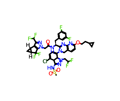 CS(=O)(=O)NC1=NN(CC(F)F)C2C(N3Cc4ccc(OCCC5CC5)nc4N=C3[C@H](Cc3cc(F)cc(F)c3)NC(=O)Cn3nc(C(F)F)c4c3C(F)(F)[C@@H]3C[C@H]43)=CC=C(Cl)C12